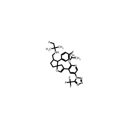 CC(C)Oc1ncc(-n2nnnc2C(F)(F)F)cc1C1=COC2(CCC(CNC(C)(C)CF)C2c2ccc(F)cc2)C1